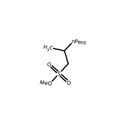 CCCCCC(C)CS(=O)(=O)OC